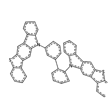 c1cc(-c2ccccc2-n2c3ccccc3c3cc4sc5ccccc5c4cc32)cc(-n2c3ccccc3c3cc4sc5ccccc5c4cc32)c1